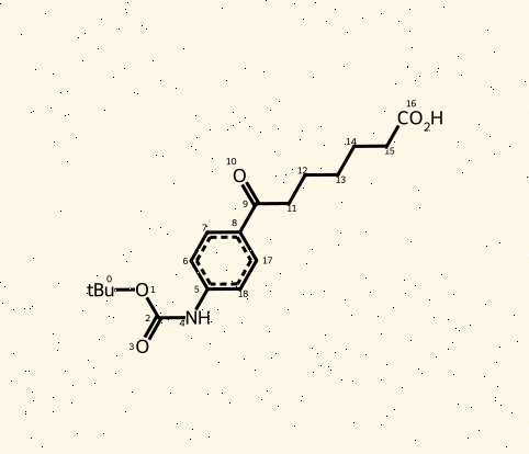 CC(C)(C)OC(=O)Nc1ccc(C(=O)CCCCCC(=O)O)cc1